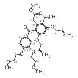 C=CCOc1cc(OCC=C)c(C(=O)c2ccc(OCCOC)c(OCCOC)c2)c(CC(=O)OC)c1CC